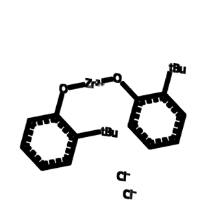 CC(C)(C)c1ccccc1[O][Zr+2][O]c1ccccc1C(C)(C)C.[Cl-].[Cl-]